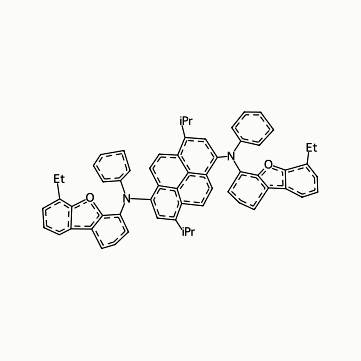 CCc1cccc2c1oc1c(N(c3ccccc3)c3cc(C(C)C)c4ccc5c(N(c6ccccc6)c6cccc7c6oc6c(CC)cccc67)cc(C(C)C)c6ccc3c4c65)cccc12